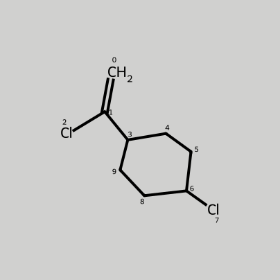 C=C(Cl)C1CCC(Cl)CC1